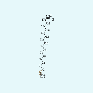 CCSCCCCCCCCCCCCCCCCC(F)(F)F